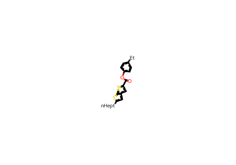 CCCCCCCc1cc2cc(C(=O)Oc3ccc(CC)cc3)sc2s1